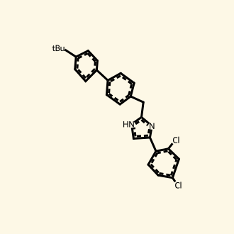 CC(C)(C)c1ccc(-c2ccc(Cc3nc(-c4ccc(Cl)cc4Cl)c[nH]3)cc2)cc1